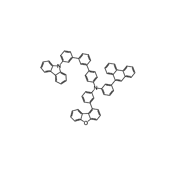 c1cc(-c2ccc(N(c3cccc(-c4cc5ccccc5c5ccccc45)c3)c3cccc(-c4cccc5oc6ccccc6c45)c3)cc2)cc(-c2cccc(-n3c4ccccc4c4ccccc43)c2)c1